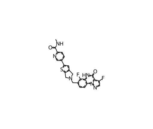 CNC(=O)c1ccc(-c2cc3c(s2)CN(Cc2ccc4c([nH]c(=O)c5c(F)cnn54)c2F)C3)cn1